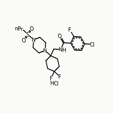 CCCS(=O)(=O)N1CCN(C2(CNC(=O)c3ccc(Cl)cc3F)CCC(F)(F)CC2)CC1.Cl